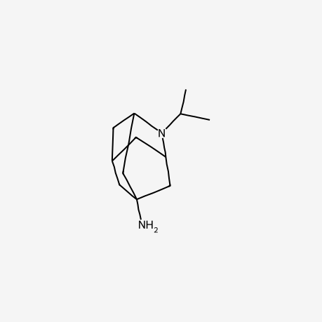 CC(C)N1C2CC3CC1CC(N)(C3)C2